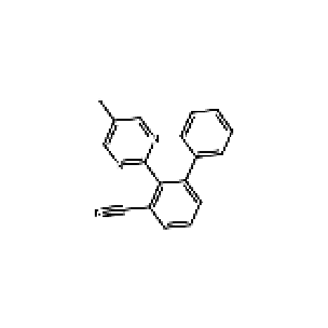 Cc1cnc(-c2c(C#N)cccc2-c2ccccc2)nc1